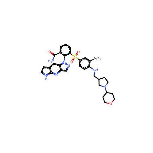 NC(=O)c1cccc(S(=O)(=O)c2ccc(NCC3CCN(C4CCOCC4)C3)c([N+](=O)[O-])c2)c1-n1ncc2nc3[nH]ccc3cc21